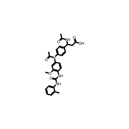 COc1cc(N(C(C)=O)c2ccc(C(CC(=O)O)NC(C)=O)cc2)ccc1NC(=O)Nc1ccccc1C